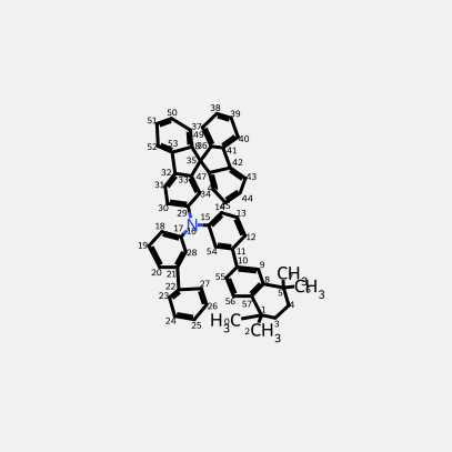 CC1(C)CCC(C)(C)c2cc(-c3cccc(N(c4cccc(-c5ccccc5)c4)c4ccc5c(c4)C4(c6ccccc6-c6ccccc64)c4ccccc4-5)c3)ccc21